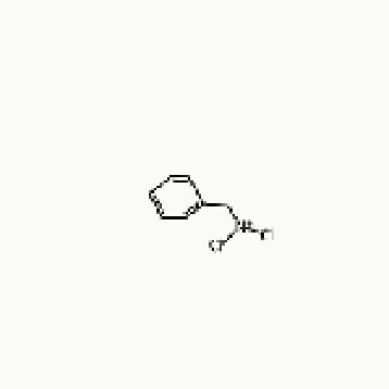 Cl[N+](Cl)Cc1ccccc1